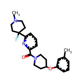 Cc1cccc(OC2CCN(C(=O)c3cccc(C4(F)CCN(C)CC4)n3)CC2)c1